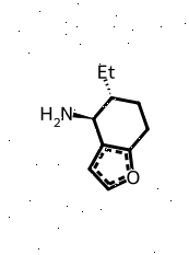 CC[C@@H]1CCc2occc2[C@H]1N